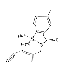 CC(=CC#N)CN1C(=O)c2cc(F)ccc2S1(O)O